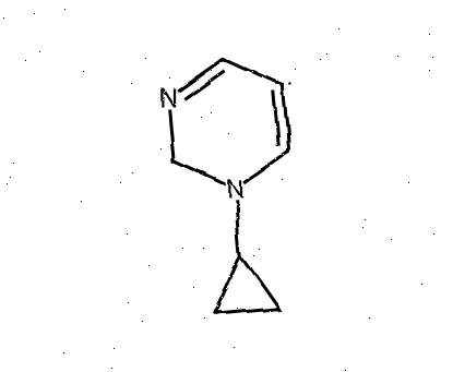 [C]1=CN(C2CC2)CN=C1